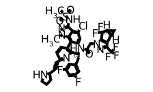 Cn1nc(NS(C)(=O)=O)c2c(Cl)ccc(-c3ccc(C#CC4CCCN4)nc3[C@H](Cc3cc(F)cc(F)c3)NC(=O)Cn3nc(C(F)(F)F)c4c3C(F)(F)[C@@H]3C[C@H]43)c21